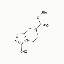 CC(C)(C)OC(=O)N1CCn2c(C=O)ccc2C1